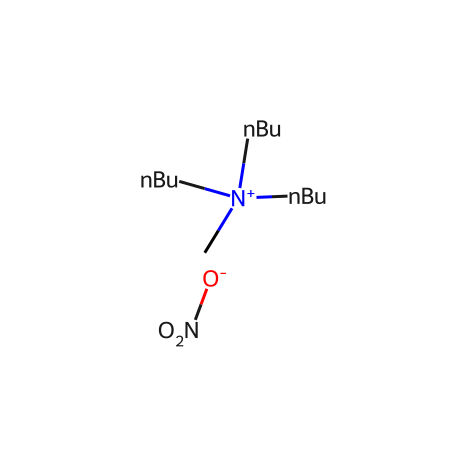 CCCC[N+](C)(CCCC)CCCC.O=[N+]([O-])[O-]